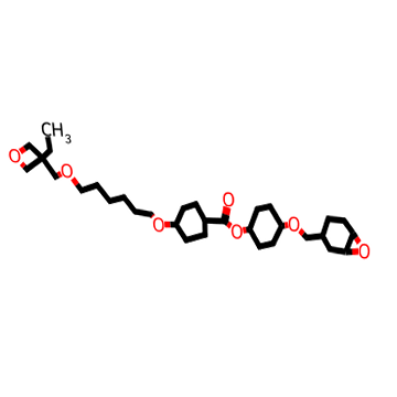 CCC1(COCCCCCCOC2CCC(C(=O)OC3CCC(OCC4CCC5OC5C4)CC3)CC2)COC1